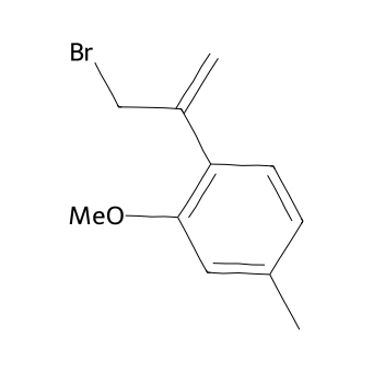 C=C(CBr)c1ccc(C)cc1OC